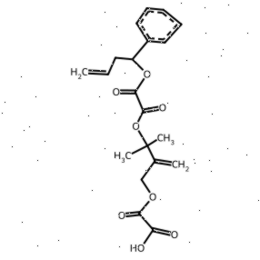 C=CCC(OC(=O)C(=O)OC(C)(C)C(=C)COC(=O)C(=O)O)c1ccccc1